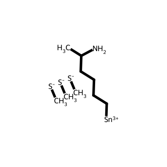 CC(N)CCC[CH2][Sn+3].C[S-].C[S-].C[S-]